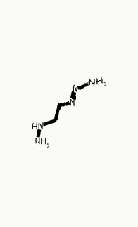 NN=NCCNN